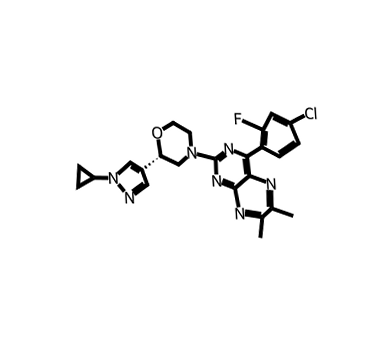 Cc1nc2nc(N3CCO[C@@H](c4cnn(C5CC5)c4)C3)nc(-c3ccc(Cl)cc3F)c2nc1C